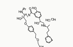 CC(C)NC[C@H](O)COc1ccc(CCOCC2CC2)cc1.CC(CCc1ccccc1)NCC(O)c1ccc(O)c(C(N)=O)c1.Cl.Cl